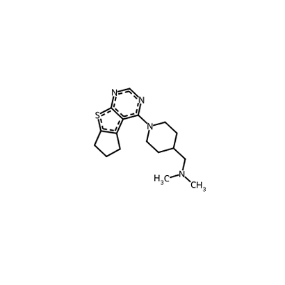 CN(C)CC1CCN(c2ncnc3sc4c(c23)CCC4)CC1